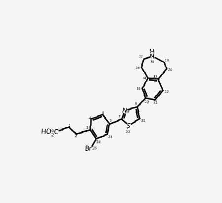 O=C(O)CCc1ccc(-c2nc(-c3ccc4c(c3)CCNCC4)cs2)cc1Br